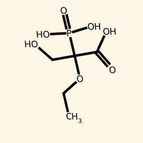 CCOC(CO)(C(=O)O)P(=O)(O)O